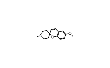 COc1ccc2c(c1)C=CC1(CCN(C)CC1)O2